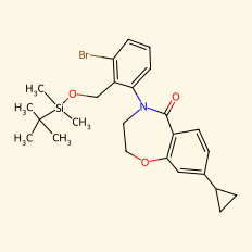 CC(C)(C)[Si](C)(C)OCc1c(Br)cccc1N1CCOc2cc(C3CC3)ccc2C1=O